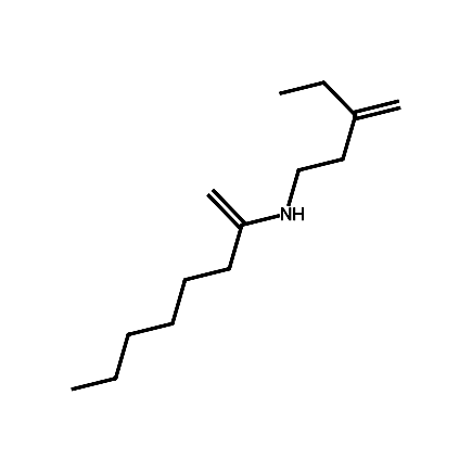 C=C(CC)CCNC(=C)CCCCCC